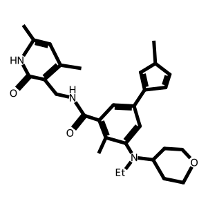 CCN(c1cc(C2=CC(C)C=C2)cc(C(=O)NCc2c(C)cc(C)[nH]c2=O)c1C)C1CCOCC1